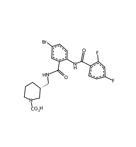 O=C(Nc1ccc(Br)cc1C(=O)NC[C@H]1CCCN(C(=O)O)C1)c1ccc(F)cc1F